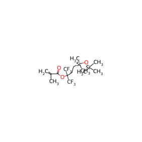 C=C(C)C(=O)OC(CC[Si](C)(C)O[Si](C)(C)C)(C(F)(F)F)C(F)(F)F